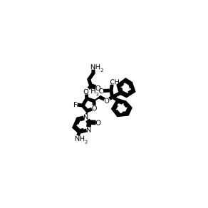 CC(C)C(OC[C@H]1O[C@@H](n2ccc(N)nc2=O)C(F)C1OC(=O)CCN)(c1ccccc1)c1ccccc1